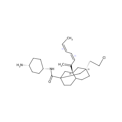 C=C(/C=C\C=C/C)[C@]12CC3(C(=O)N[C@H]4CC[C@@H](N)CC4)CCC1CC[C@@](CCCl)(C3)C2